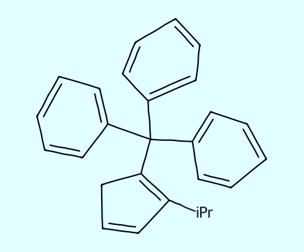 CC(C)C1=C(C(c2ccccc2)(c2ccccc2)c2ccccc2)CC=C1